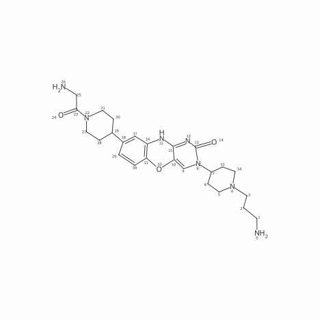 NCCCN1CCC(n2cc3c(nc2=O)Nc2cc(C4CCN(C(=O)CN)CC4)ccc2O3)CC1